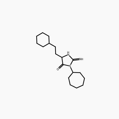 N=C1NC(CCC2CCCCC2)C(=O)N1C1CCCCCC1